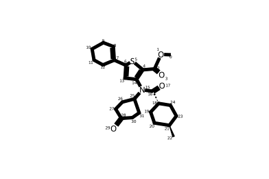 COC(=O)c1sc(C2=CCCCC2)cc1N(C(=O)[C@H]1CC[C@H](C)CC1)C1CCC(=O)CC1